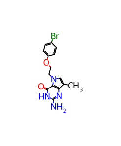 Cc1cn(CCOc2ccc(Br)cc2)c2c(=O)[nH]c(N)nc12